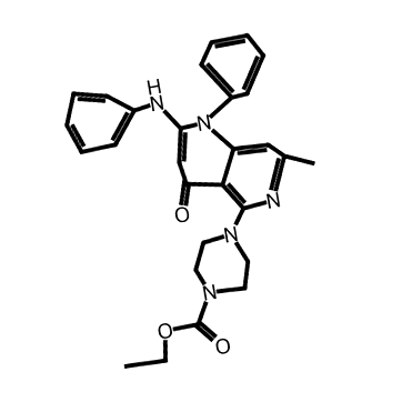 CCOC(=O)N1CCN(c2nc(C)cc3c2c(=O)cc(Nc2ccccc2)n3-c2ccccc2)CC1